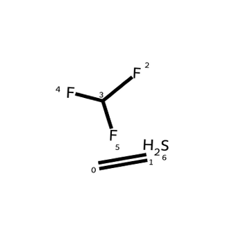 C=C.FC(F)F.S